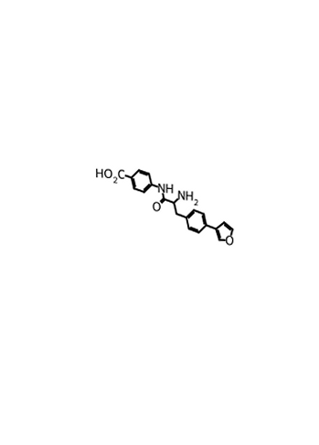 NC(Cc1ccc(-c2ccoc2)cc1)C(=O)Nc1ccc(C(=O)O)cc1